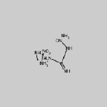 CN.N.N=C(N)NN=O.N[N+](=O)[O-]